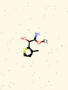 CCOC(=N)C(O)c1sccc1C